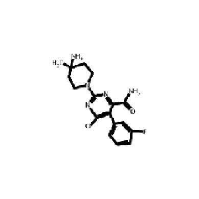 CC1(N)CCN(c2nc(Cl)c(-c3cccc(F)c3)c(C(N)=O)n2)CC1